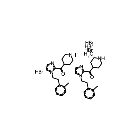 Br.Br.Br.Br.Cc1ccccc1CCn1ccnc1C(=O)C1CCNCC1.Cc1ccccc1CCn1ccnc1C(=O)C1CCNCC1.O